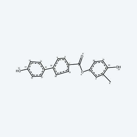 Cc1cc(OC(=O)c2ccc(-c3ccc(O)cc3)cc2)ccc1O